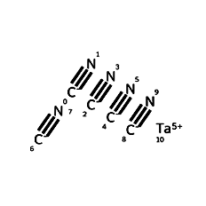 [C-]#N.[C-]#N.[C-]#N.[C-]#N.[C-]#N.[Ta+5]